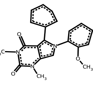 COc1ccccc1-n1cc2c(c1-c1ccccc1)c(=O)n(C)c(=O)n2C